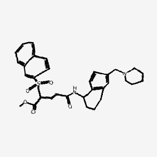 COC(=O)C(CCC(=O)NC1CCCc2cc(CN3CCCCC3)ccc21)S(=O)(=O)c1ccc2ccccc2c1